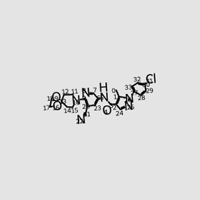 Cc1c(C(=O)Nc2cnc(N3CCC4(CC3)OCCO4)c(C#N)c2)cnn1-c1ccc(Cl)cc1